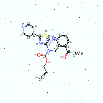 C=CCOC(=O)N(Cc1c(N)cccc1C(=O)OC)c1csc(-c2ccncc2)n1